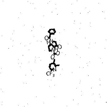 Cc1nc(C(F)(F)F)ccc1COC(=O)N1CC[C@@H]2[C@H]1C(=O)CN2C(=O)c1ccccc1